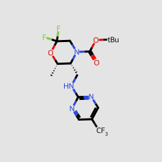 C[C@@H]1OC(F)(F)CN(C(=O)OC(C)(C)C)[C@@H]1CNc1ncc(C(F)(F)F)cn1